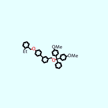 CCc1ccccc1COc1ccc(-c2cccc(COC(c3ccccc3)(c3ccc(OC)cc3)c3ccc(OC)cc3)c2)cc1